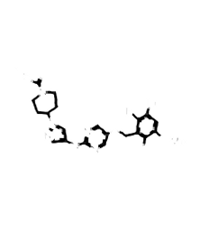 CCc1cc(OC)c(F)c(COc2cnc(Nc3cnn(C4CCN(C(=O)OC(C)(C)C)CC4)c3)nc2)c1F